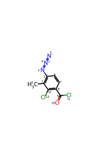 Cc1c(N=[N+]=[N-])ccc(C(=O)Cl)c1Cl